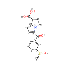 C[S+]([O-])c1cccc(C(=O)c2ccc3n2CCC3C(=O)O)c1